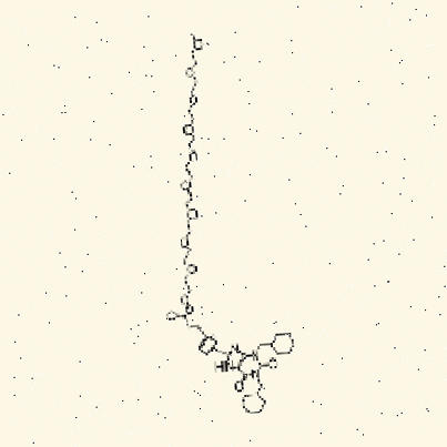 COCCOCCOCCOCCOCCOCCOCCOCCOCCOOC(=O)/C=C/c1ccc(-c2nc3c([nH]2)c(=O)n(CC2CCCCC2)c(=O)n3CC2CCCCC2)s1